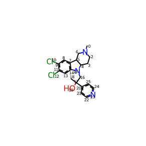 CN1CCC2C(C1)c1cc(Cl)c(Cl)cc1N2CC(C)(O)c1ccncc1